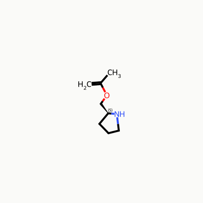 C=C(C)OC[C@@H]1CCCN1